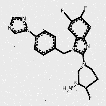 N[C@@H]1CN(c2nc3cc(F)c(F)cc3n2Cc2ccc(-n3cncn3)cc2)CCC1F